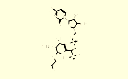 CC(=O)N[C@H]1C(OCCO)OC(C(OP(=O)(O)OC[C@H]2O[C@@H](n3ccc(N)nc3=O)[C@@H](O)C2O)P(=O)(O)O)=C[C@H]1O